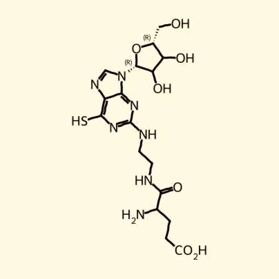 NC(CCC(=O)O)C(=O)NCCNc1nc(S)c2ncn([C@@H]3O[C@H](CO)C(O)C3O)c2n1